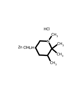 CC1CCCN(C)C1(C)C.Cl.Cl.[LiH].[Zn]